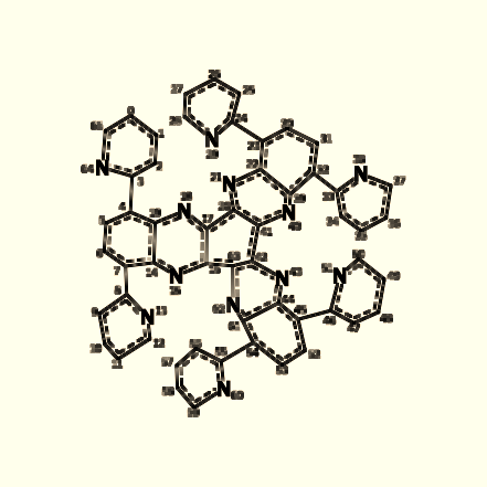 c1ccc(-c2ccc(-c3ccccn3)c3nc4c(nc23)c2nc3c(-c5ccccn5)ccc(-c5ccccn5)c3nc2c2nc3c(-c5ccccn5)ccc(-c5ccccn5)c3nc42)nc1